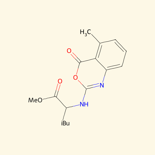 CCC(C)C(Nc1nc2cccc(C)c2c(=O)o1)C(=O)OC